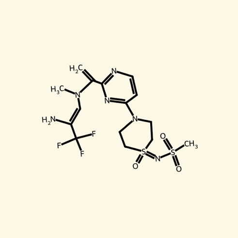 C=C(c1nccc(N2CCS(=O)(=NS(C)(=O)=O)CC2)n1)N(C)/C=C(\N)C(F)(F)F